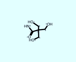 [NH]C(=O)C(CO)(CO)CO